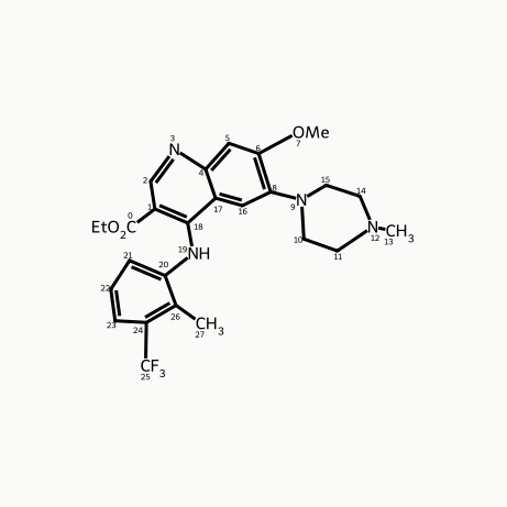 CCOC(=O)c1cnc2cc(OC)c(N3CCN(C)CC3)cc2c1Nc1cccc(C(F)(F)F)c1C